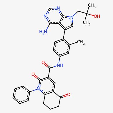 Cc1cc(NC(=O)c2cc3c(n(-c4ccccc4)c2=O)CCCC3=O)ccc1-c1cn(CC(C)(C)O)c2ncnc(N)c12